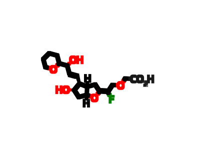 O=C(O)COC/C(F)=C1\C[C@H]2[C@H](/C=C/[C@H](O)C3CCCCO3)[C@@H](O)C[C@H]2O1